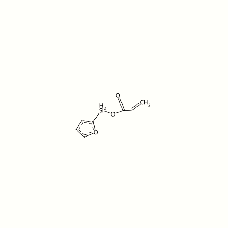 C=CC(=O)O[SiH2]c1ccco1